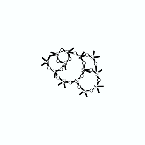 C[Si]1(C)C[Si]2(C)O[Si]3(C)O[Si](C)(O1)O[Si](C)(C)O[Si]1(C)O[Si](C)(C)O[Si](C)(C)O[Si]4(C)O[Si](C)(C)O[Si](C)(O[Si](C)(O2)O3)O[Si](C)(O1)O4